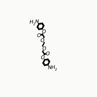 Nc1ccc(OC(=O)COCCOCC(=O)Oc2ccc(N)cc2)cc1